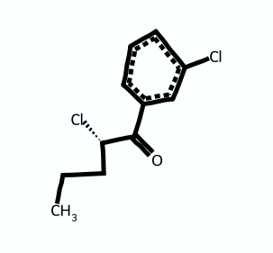 CCC[C@H](Cl)C(=O)c1cccc(Cl)c1